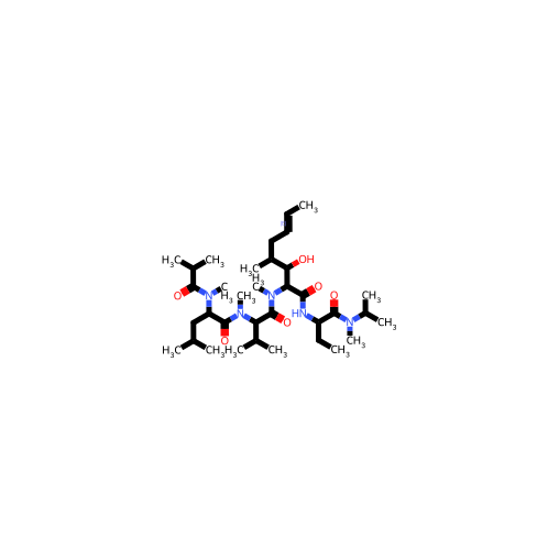 C/C=C/CC(C)C(O)C(C(=O)NC(CC)C(=O)N(C)C(C)C)N(C)C(=O)C(C(C)C)N(C)C(=O)C(CC(C)C)N(C)C(=O)C(C)C